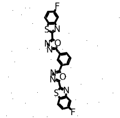 Fc1ccc2sc(-c3nnc(-c4cccc(-c5nnc(-c6nc7cc(F)ccc7s6)o5)c4)o3)nc2c1